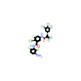 Nc1ccc(F)c(NC(=O)c2cc(NC(=O)[C@H]3[C@H](c4cc(Cl)c(Cl)c(Cl)c4)C3(Cl)Cl)cc(F)c2Cl)c1F